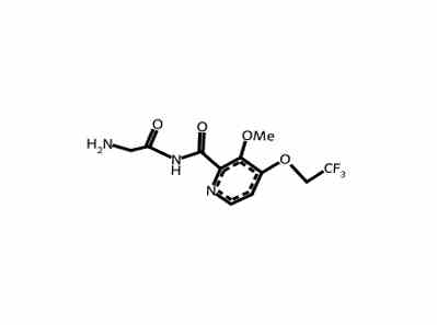 COc1c(OCC(F)(F)F)ccnc1C(=O)NC(=O)CN